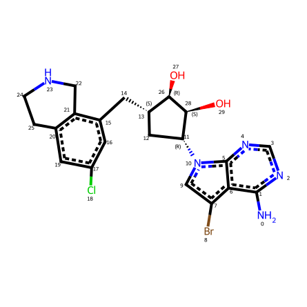 Nc1ncnc2c1c(Br)cn2[C@@H]1C[C@H](Cc2cc(Cl)cc3c2CNCC3)[C@@H](O)[C@H]1O